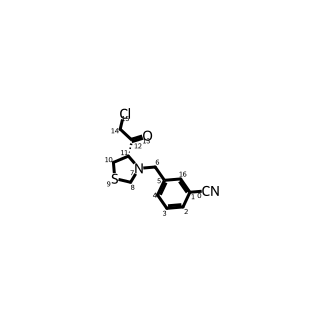 N#Cc1cccc(CN2CSC[C@@H]2C(=O)CCl)c1